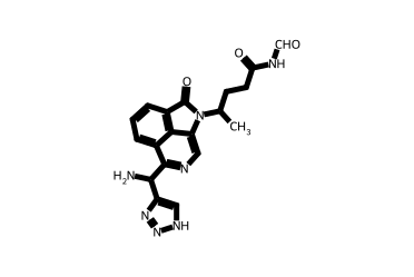 CC(CCC(=O)NC=O)N1C(=O)c2cccc3c(C(N)c4c[nH]nn4)ncc1c23